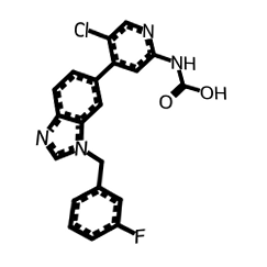 O=C(O)Nc1cc(-c2ccc3ncn(Cc4cccc(F)c4)c3c2)c(Cl)cn1